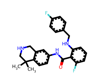 CC1(C)CNCc2cc(NC(=O)c3c(F)cccc3NCc3ccc(F)cc3)ccc21